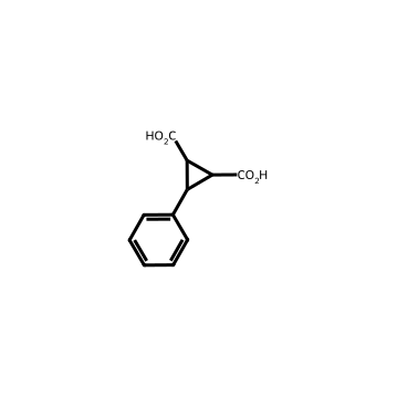 O=C(O)C1C(C(=O)O)C1c1ccccc1